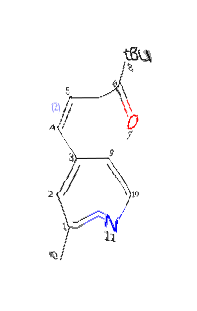 Cc1cc(/C=C\C(=O)C(C)(C)C)ccn1